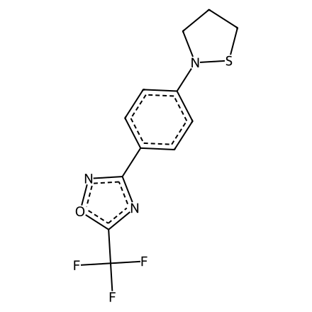 FC(F)(F)c1nc(-c2ccc(N3CCCS3)cc2)no1